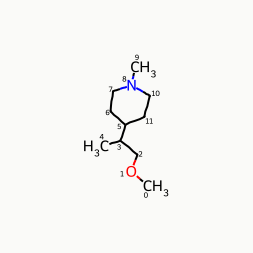 COCC(C)C1CCN(C)CC1